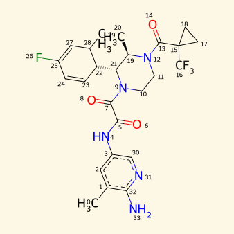 Cc1cc(NC(=O)C(=O)N2CCN(C(=O)C3(C(F)(F)F)CC3)[C@H](C)[C@H]2C2C=CC(F)=CC2C)cnc1N